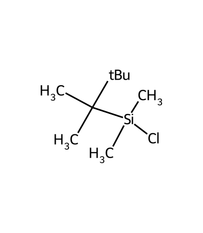 CC(C)(C)C(C)(C)[Si](C)(C)Cl